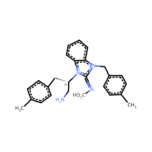 Cc1ccc(C[C@@H](CN)n2c(=NC(=O)O)n(Cc3ccc(C)cc3)c3ccccc32)cc1